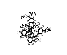 CCOc1cc(C(O)O)ccc1N(Cc1cc(C2CC2)cc(C(C)(C)C)c1)C(=O)CN(Cc1ccccc1C#N)S(=O)(=O)c1cc(F)c(F)c(F)c1F